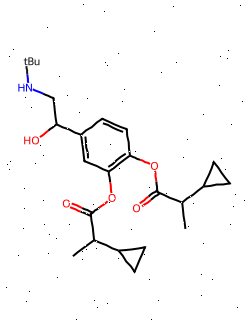 CC(C(=O)Oc1ccc(C(O)CNC(C)(C)C)cc1OC(=O)C(C)C1CC1)C1CC1